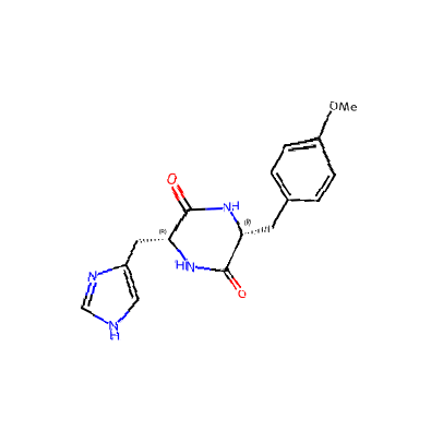 COc1ccc(C[C@H]2NC(=O)[C@@H](Cc3c[nH]cn3)NC2=O)cc1